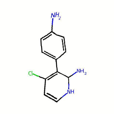 Nc1ccc(C2=C(Cl)C=CNC2N)cc1